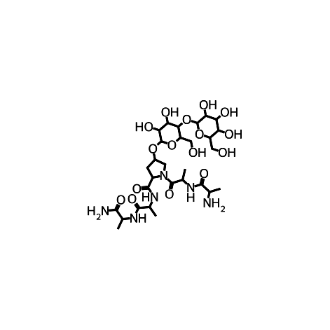 CC(N)C(=O)NC(C)C(=O)N1CC(OC2OC(CO)C(OC3OC(CO)C(O)C(O)C3O)C(O)C2O)CC1C(=O)NC(C)C(=O)NC(C)C(N)=O